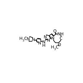 COC1CCCNC(=O)c2cc3cnc(Nc4ccc(N5CCN(C)CC5)cn4)nc3n2CC1